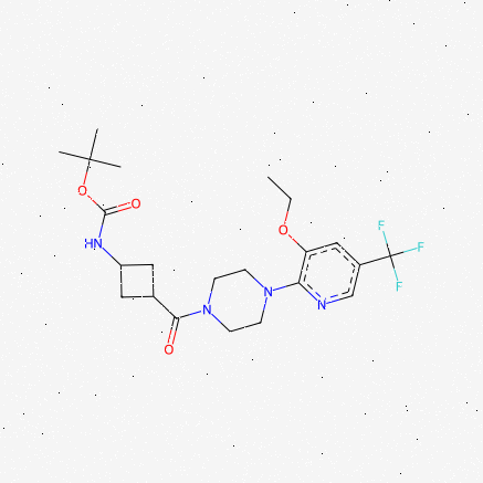 CCOc1cc(C(F)(F)F)cnc1N1CCN(C(=O)C2CC(NC(=O)OC(C)(C)C)C2)CC1